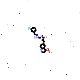 CCOc1ccnc2ccc(/C=C3\SC(NCCc4cccc(F)c4)=NC3=O)cc12